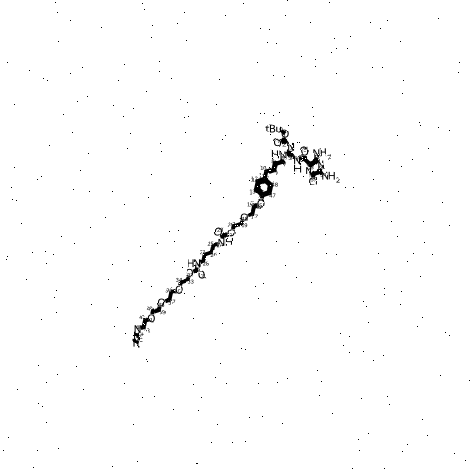 CC(C)(C)OC(=O)/N=C(\NCCCCc1ccc(OCCOCCOC(=O)NCCCCNC(=O)OCCOCCOCCOCCN=[N+]=[N-])cc1)NC(=O)c1nc(Cl)c(N)nc1N